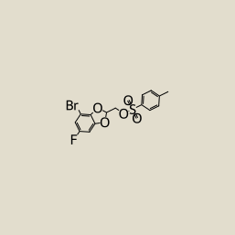 Cc1ccc(S(=O)(=O)OCC2Oc3cc(F)cc(Br)c3O2)cc1